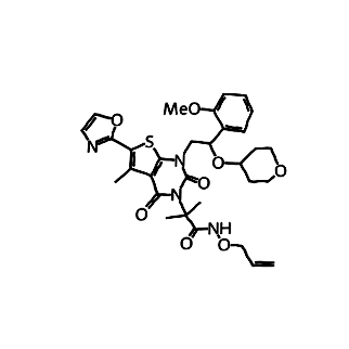 C=CCONC(=O)C(C)(C)n1c(=O)c2c(C)c(-c3ncco3)sc2n(CC(OC2CCOCC2)c2ccccc2OC)c1=O